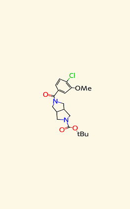 COc1cc(C(=O)N2CC3CN(C(=O)OC(C)(C)C)CC3C2)ccc1Cl